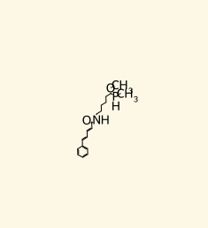 COC(CCCCCNC(=O)/C=C/C=C/c1ccccc1)PC